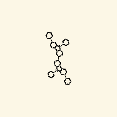 c1ccc(-c2ccc3c4cc(-c5ccc6c(c5)c5ccc(-c7ccccc7)cc5n6-c5ccccc5)ccc4n(-c4ccccc4)c3c2)cc1